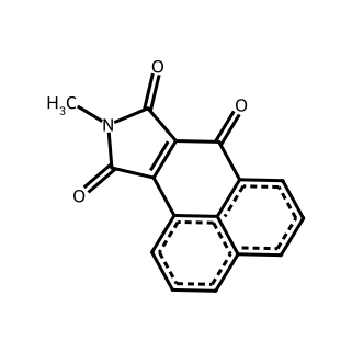 CN1C(=O)C2=C(C1=O)c1cccc3cccc(c13)C2=O